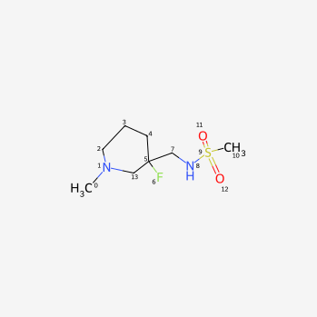 CN1CCCC(F)(CNS(C)(=O)=O)C1